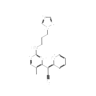 Cc1cnc(NCCCn2cncn2)nc1C(C#N)=C1C=CC=CN1